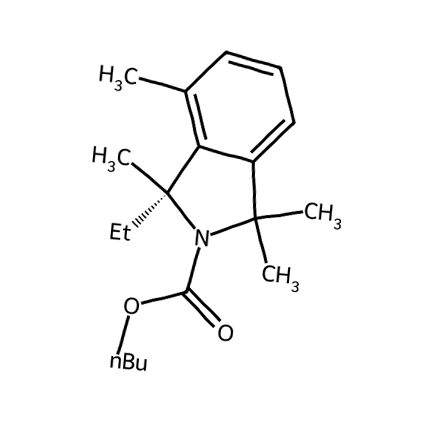 CCCCOC(=O)N1C(C)(C)c2cccc(C)c2[C@@]1(C)CC